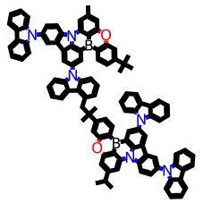 Cc1cc2c3c(c1)-n1c4ccc(-n5c6ccccc6c6ccccc65)cc4c4cc(-n5c6ccccc6c6c(CC(C)(C)c7ccc8c(c7)Oc7cc(C(C)C)cc9c7B8c7cc(-n8c%10ccccc%10c%10ccccc%108)cc8c%10cc(-n%11c%12ccccc%12c%12ccccc%12%11)ccc%10n-9c78)cccc65)cc(c41)B3c1ccc(C(C)(C)C)cc1O2